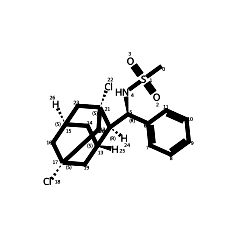 CS(=O)(=O)N[C@@H](c1ccccc1)[C@H]1[C@H]2C[C@H]3C[C@](Cl)(C2)C[C@@]1(Cl)C3